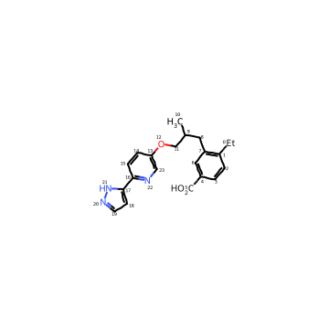 CCc1ccc(C(=O)O)cc1CC(C)COc1ccc(-c2ccn[nH]2)nc1